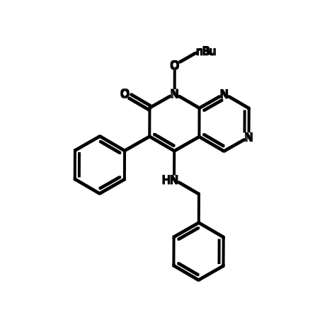 CCCCOn1c(=O)c(-c2ccccc2)c(NCc2ccccc2)c2cncnc21